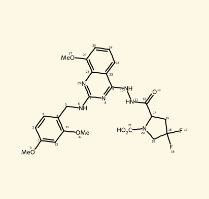 COc1ccc(CNc2nc(NNC(=O)C3CC(F)(F)CN3C(=O)O)c3cccc(OC)c3n2)c(OC)c1